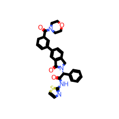 O=C(Nc1nccs1)[C@@H](c1ccccc1)N1Cc2ccc(C3=CC(C(=O)N4CCOCC4)CC=C3)cc2C1=O